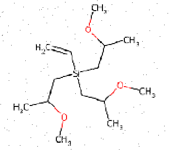 C=C[Si](CC(C)OC)(CC(C)OC)CC(C)OC